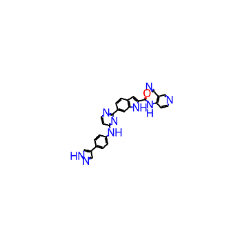 N#Cc1cnccc1NC(=O)c1cc2ccc(-c3nccc(Nc4ccc(-c5cn[nH]c5)cc4)n3)cc2[nH]1